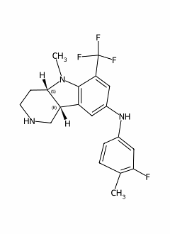 Cc1ccc(Nc2cc3c(c(C(F)(F)F)c2)N(C)[C@H]2CCNC[C@@H]32)cc1F